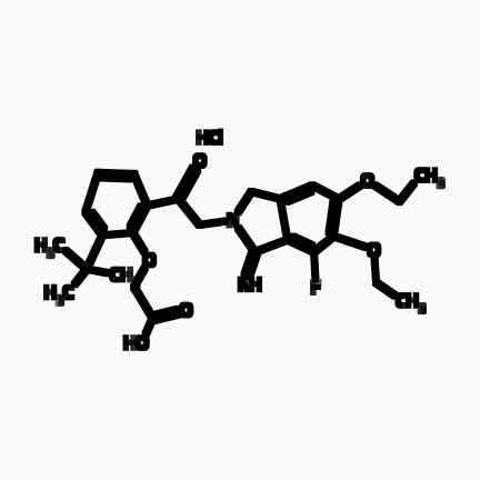 CCOc1cc2c(c(F)c1OCC)C(=N)N(CC(=O)c1cccc(C(C)(C)C)c1OCC(=O)O)C2.Cl